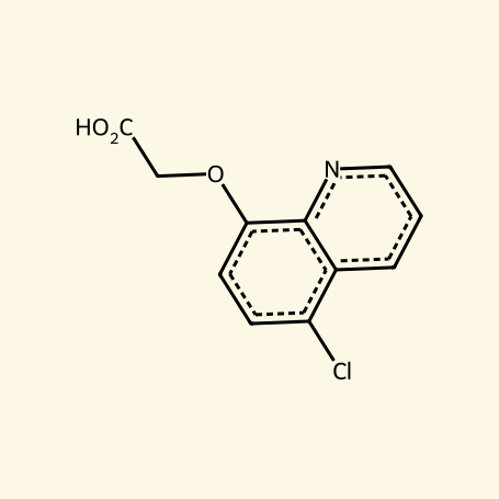 O=C(O)COc1ccc(Cl)c2cccnc12